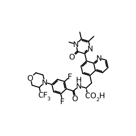 Cc1nc(-c2ccc(C[C@H](NC(=O)c3c(F)cc(N4CCOCC4C(F)(F)F)cc3F)C(=O)O)c3cccnc23)c(=O)n(C)c1C